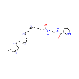 CC/C=C\C/C=C\C/C=C\C/C=C\C/C=C\CCCC(=O)NCCNC(=O)c1cccnc1